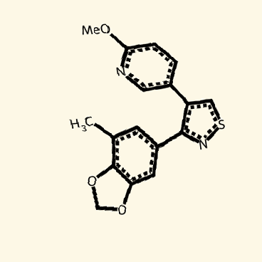 COc1ccc(-c2csnc2-c2cc(C)c3c(c2)OCO3)cn1